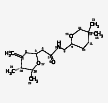 C=C1CC(CC(=O)NCC2CCC(C)(C)CO2)OC(C)[C@@H]1C